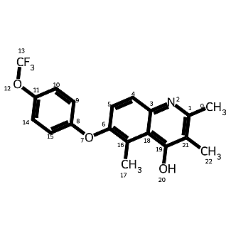 Cc1nc2ccc(Oc3ccc(OC(F)(F)F)cc3)c(C)c2c(O)c1C